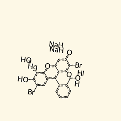 I.O=C(O)c1ccccc1-c1c2cc(Br)c(=O)cc-2oc2[c]([Hg][OH])c(O)c(Br)cc12.[NaH].[NaH]